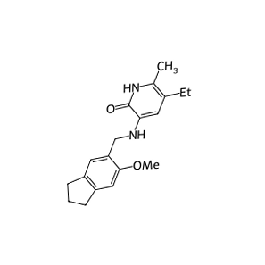 CCc1cc(NCc2cc3c(cc2OC)CCC3)c(=O)[nH]c1C